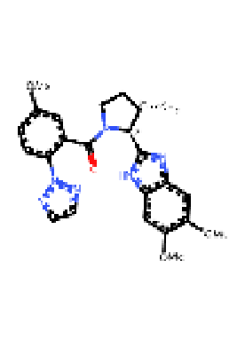 COc1ccc(-n2nccn2)c(C(=O)N2CC[C@H](C)[C@H]2c2nc3cc(OC)c(OC)cc3[nH]2)c1